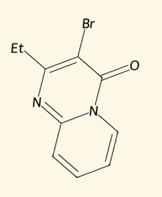 CCc1nc2ccccn2c(=O)c1Br